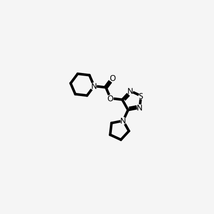 O=C(Oc1nsnc1N1CCCC1)N1CCCCC1